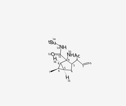 C=CCC1C[C@H]2[C@@H](C)[C@H]2C1(NC(C)=O)C(=O)NC(C)(C)C